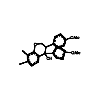 COc1ccc(C2COc3c(ccc(C)c3C)C2(O)c2ccc(OC)cc2)cc1